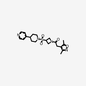 Cc1noc(C)c1CC(=O)N1CC(S(=O)(=O)N2CCC(c3ccncc3)CC2)C1